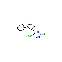 Clc1ncc(Cl)c(-c2cccc(-c3ccccc3)c2)n1